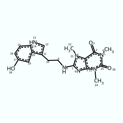 Cn1c(=O)c2c(nc(NCCc3c[nH]c4ccc(O)cc34)n2C)n(C)c1=O